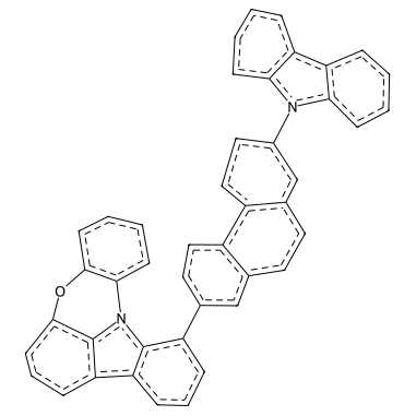 c1ccc2c(c1)Oc1cccc3c4cccc(-c5ccc6c(ccc7cc(-n8c9ccccc9c9ccccc98)ccc76)c5)c4n-2c13